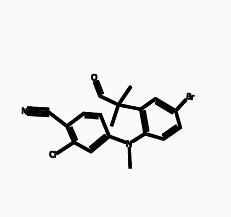 CN(c1ccc(C#N)c(Cl)c1)c1ccc(Br)cc1C(C)(C)C=O